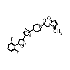 Cn1ccc(=O)n1CC(=O)N1CCC(c2nc(C3=NOC(c4c(F)cccc4F)C3)cs2)CC1